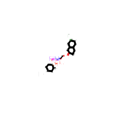 Cc1ccc(S(=O)(=O)NC(=O)COc2ccc3ccc(Cl)cc3c2)c(C)c1